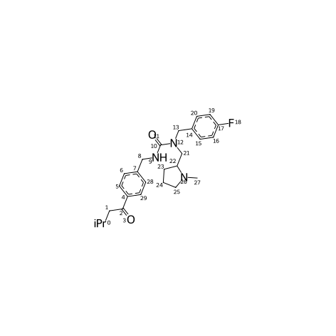 CC(C)CC(=O)c1ccc(CNC(=O)N(Cc2ccc(F)cc2)CC2CCCN2C)cc1